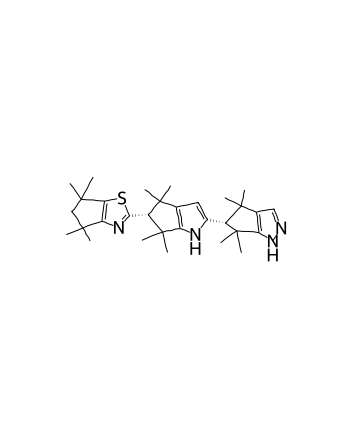 CC1(C)CC(C)(C)c2sc([C@@H]3C(C)(C)c4cc([C@@H]5C(C)(C)c6cn[nH]c6C5(C)C)[nH]c4C3(C)C)nc21